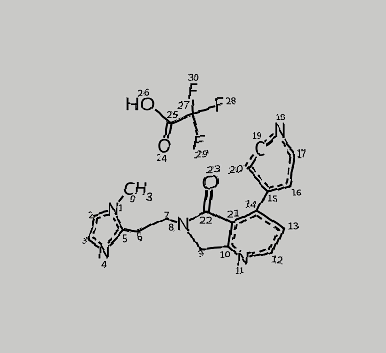 Cn1ccnc1CCN1Cc2nccc(-c3ccncc3)c2C1=O.O=C(O)C(F)(F)F